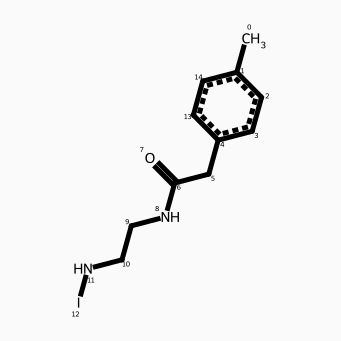 Cc1ccc(CC(=O)NCCNI)cc1